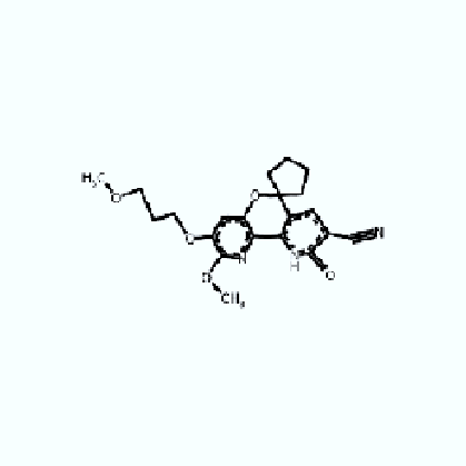 COCCCOc1cc2c(nc1OC)-c1[nH]c(=O)c(C#N)cc1C1(CCCC1)O2